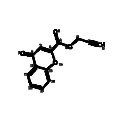 C#CCOC(=O)c1cc(=O)c2ccccc2o1